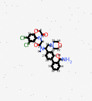 CN(C(=O)CN1C(=O)COc2cc(Cl)c(Cl)cc21)C(CN1CCOCC1)c1ccc(-c2ccccc2C(N)=O)cc1